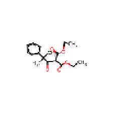 CCOC(=O)C(C(=O)OCC)C(=O)C(C)(C)c1ccccc1